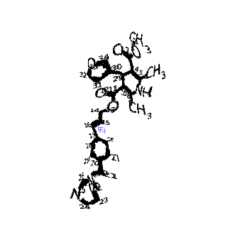 COC(=O)C1=C(C)NC(C)=C(C(=O)OC/C=C/c2ccc(Cn3ccnc3)cc2)C1c1ccoc1